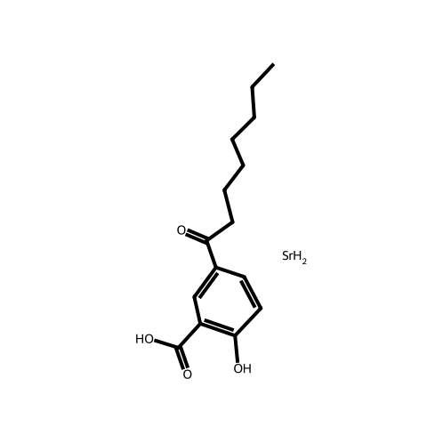 CCCCCCCC(=O)c1ccc(O)c(C(=O)O)c1.[SrH2]